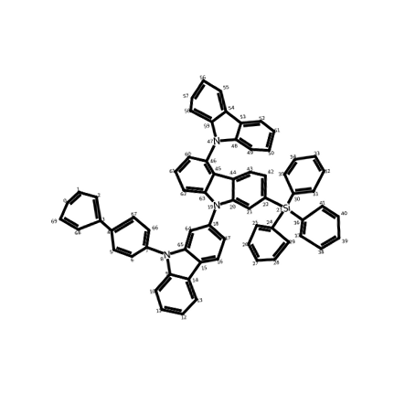 c1ccc(-c2ccc(-n3c4ccccc4c4ccc(-n5c6cc([Si](c7ccccc7)(c7ccccc7)c7ccccc7)ccc6c6c(-n7c8ccccc8c8ccccc87)cccc65)cc43)cc2)cc1